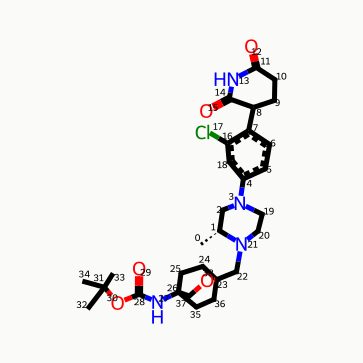 C[C@@H]1CN(c2ccc(C3CCC(=O)NC3=O)c(Cl)c2)CCN1CC12CCC(NC(=O)OC(C)(C)C)(CC1)CO2